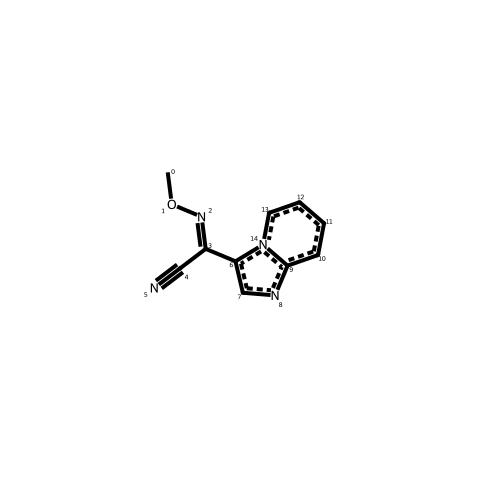 CON=C(C#N)c1cnc2ccccn12